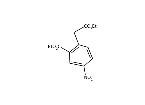 CCOC(=O)Cc1ccc([N+](=O)[O-])cc1C(=O)OCC